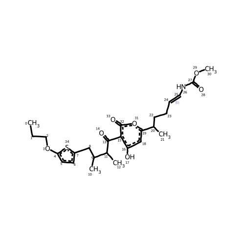 CCCOc1ccc(CC(C)C(C)C(=O)c2c(O)cc(C(C)CC/C=C/NC(=O)OC)oc2=O)s1